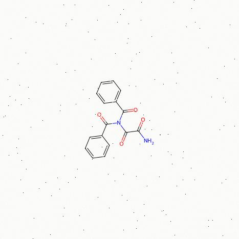 NC(=O)C(=O)N(C(=O)c1ccccc1)C(=O)c1ccccc1